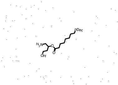 CCCCCCCCCCCCCCCCCC(=O)OC(CN)CCO